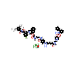 Cc1cc(C(=O)N(C)CCCN(C)C(=O)CO[C@H]2Cc3ccccc3C23CCN(CC[C@]2(c4ccc(F)cc4)CN(C(=O)c4cc(C(F)(F)F)cc(C(F)(F)F)c4)CO2)CC3)ccc1NCCCCCC(=O)N(C)CCN1CCC(OC(=O)Nc2ccccc2-c2ccccc2)CC1.Cl.Cl.Cl